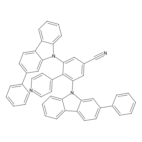 N#Cc1cc(-n2c3ccccc3c3ccc(-c4ccccc4)cc32)c(-c2ccncc2)c(-n2c3ccccc3c3ccc(-c4ccccc4)cc32)c1